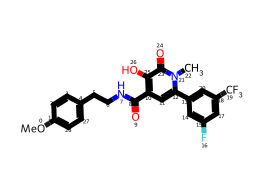 COc1ccc(CCNC(=O)c2cc(-c3cc(F)cc(C(F)(F)F)c3)n(C)c(=O)c2O)cc1